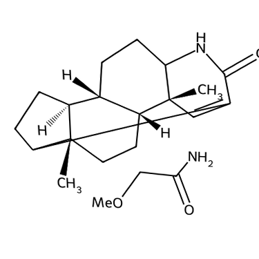 COCC(N)=O.C[C@]12C=C3C(=O)NC1CC[C@@H]1[C@H]2CC[C@]2(C)C3CC[C@@H]12